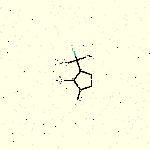 CC1CCC(C(C)(C)F)C1C